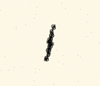 C=CC(=O)OCCCCOc1ccc(C(=O)Oc2ccc(OC(=O)Oc3cccc4c3[C@]3(CC4)CCc4cccc(OC(=O)OC5CCC(OC(=O)c6ccc(OCCCCOC(=O)C=C)cc6)CC5)c43)cc2)cc1